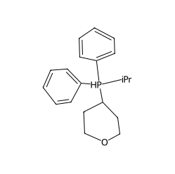 CC(C)[PH](c1ccccc1)(c1ccccc1)C1CCOCC1